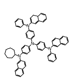 C1=CC2=CC(N(c3ccccc3)c3ccc(N(c4ccc(N(c5ccccc5)c5ccc6ccccc6c5)cc4)c4ccc(N(c5ccc6ccccc6c5)C5CCCCCC5)cc4)cc3)=CCC2C=C1